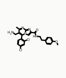 COc1ccc(CCNC(=O)c2cn3c(-c4ccc(Cl)cc4Cl)c(CN)c(C)nc3n2)cc1